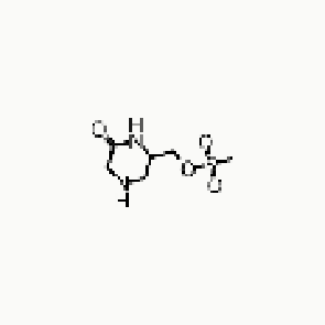 CS(=O)(=O)OCC1CNCC(=O)N1